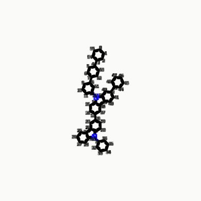 c1ccc(-c2ccc(-c3cccc(-n4c5ccc(-c6ccc7c(c6)c6ccccc6n7-c6ccccc6)cc5c5ccc(-c6ccccc6)cc54)c3)cc2)cc1